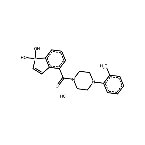 Cc1ccccc1N1CCN(C(=O)c2cccc3c2C=CS3(O)O)CC1.Cl